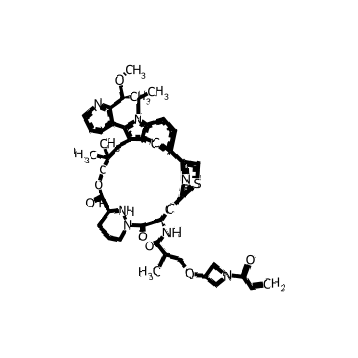 C=CC(=O)N1CC(OCC(C)C(=O)N[C@H]2Cc3nc(cs3)-c3ccc4c(c3)c(c(-c3cccnc3[C@H](C)OC)n4CC)CC(C)(C)COC(=O)[C@@H]3CCCN(N3)C2=O)C1